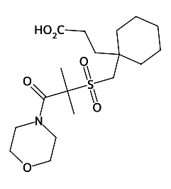 CC(C)(C(=O)N1CCOCC1)S(=O)(=O)CC1(CCC(=O)O)CCCCC1